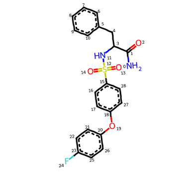 NC(=O)C(Cc1ccccc1)NS(=O)(=O)c1ccc(Oc2ccc(F)cc2)cc1